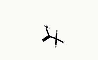 C=C([NH])C(F)(F)F